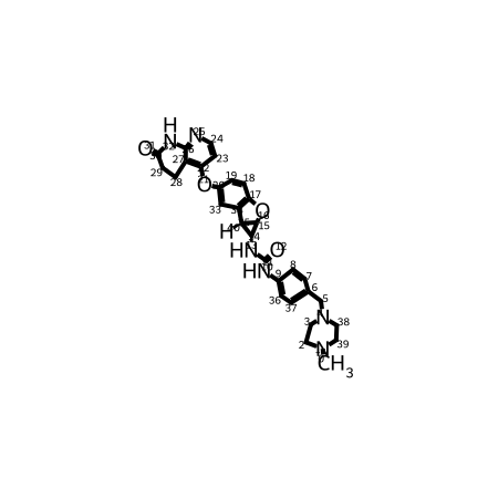 CN1CCN(Cc2ccc(NC(=O)N[C@@H]3C4Oc5ccc(Oc6ccnc7c6CCC(=O)N7)cc5[C@H]43)cc2)CC1